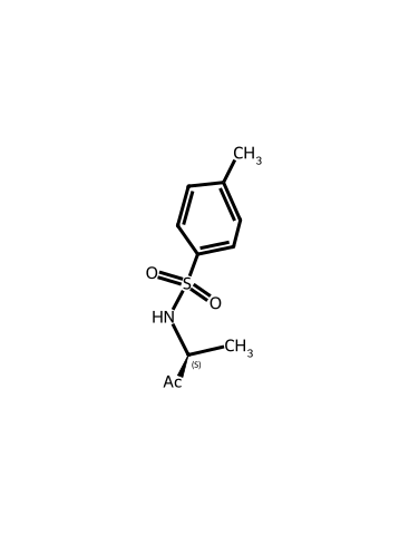 CC(=O)[C@H](C)NS(=O)(=O)c1ccc(C)cc1